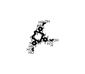 OC[C@H](O)CNc1c(F)c(F)c(-c2c3nc(c4ccc([nH]4)c(-c4c(F)c(F)c(NC[C@@H](O)CO)c(F)c4F)c4ccc([nH]4)c(-c4c(F)c(F)c(NC[C@@H](O)CO)c(F)c4F)c4ccc2[nH]4)C=C3)c(F)c1F